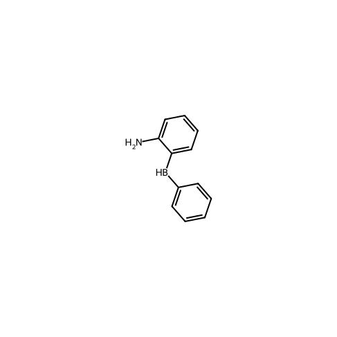 Nc1ccccc1Bc1ccccc1